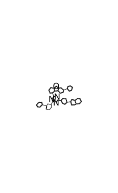 C1=C(c2ccccc2)CC(c2nc(-c3ccc(-c4ccc5ccccc5c4)cc3)nc(-c3cccc4oc5cc(-c6ccccc6)ccc5c34)n2)CC1